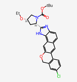 CCO[C@H]1C[C@@H](c2nc3ccc4cc5c(cc4c3[nH]2)OCc2cc(Cl)ccc2-5)N(C(=O)OC(C)(C)C)C1